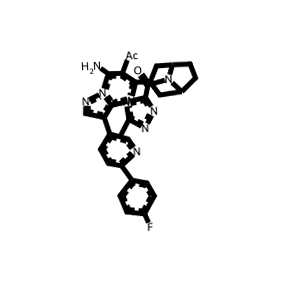 CC(=O)c1c(C2CC3CCC(C2)N3C(=O)c2nnc(C)[nH]2)nc2c(-c3ccc(-c4ccc(F)cc4)nc3)cnn2c1N